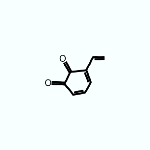 C=CC1=CC=CC(=O)C1=O